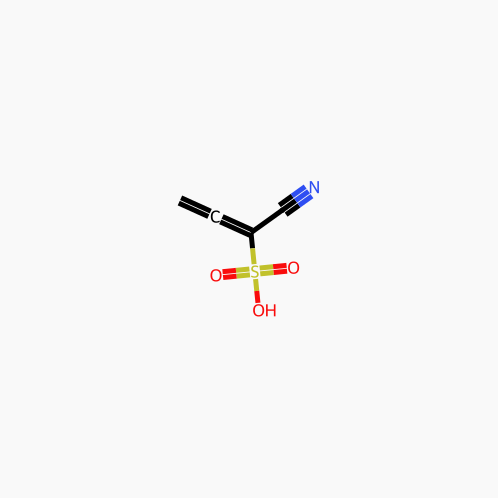 C=C=C(C#N)S(=O)(=O)O